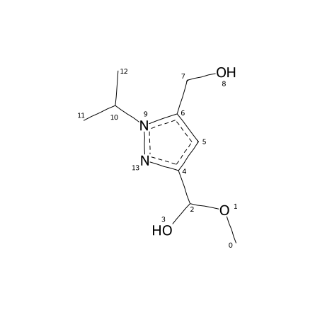 COC(O)c1cc(CO)n(C(C)C)n1